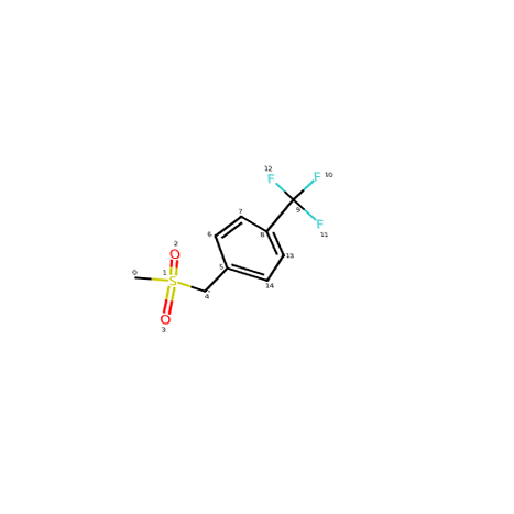 CS(=O)(=O)[CH]c1ccc(C(F)(F)F)cc1